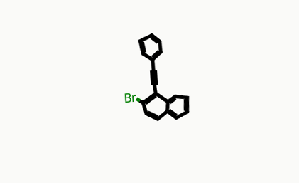 Brc1ccc2ccccc2c1C#Cc1ccccc1